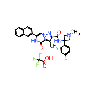 CN1CC(NC(=O)c2nn3cc(-c4ccc5ccccc5c4)[nH]c(=O)c3c2C(F)(F)F)(c2ccc(F)cc2)C1.O=C(O)C(F)(F)F